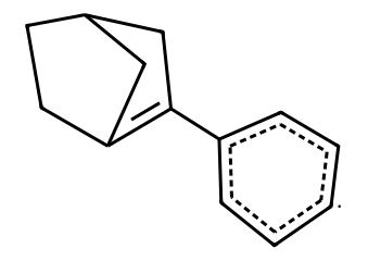 [c]1ccc(C2=C3CCC(C3)C2)cc1